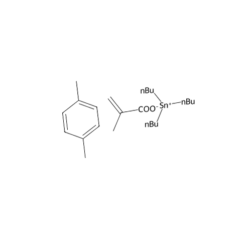 C=C(C)C(=O)[O-].CCC[CH2][Sn+]([CH2]CCC)[CH2]CCC.Cc1ccc(C)cc1